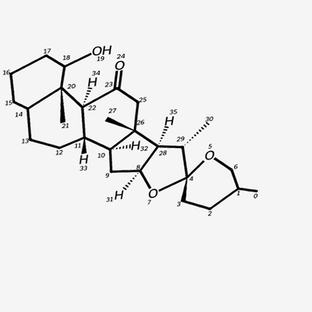 CC1CC[C@@]2(OC1)O[C@H]1C[C@H]3[C@@H]4CCC5CCCC(O)[C@]5(C)[C@H]4C(=O)C[C@]3(C)[C@H]1[C@@H]2C